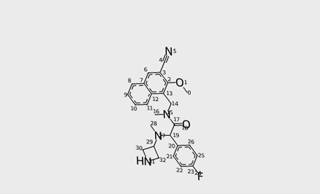 COc1c(C#N)cc2ccccc2c1CN(C)C(=O)C(c1ccc(F)cc1)N(C)C1CNC1